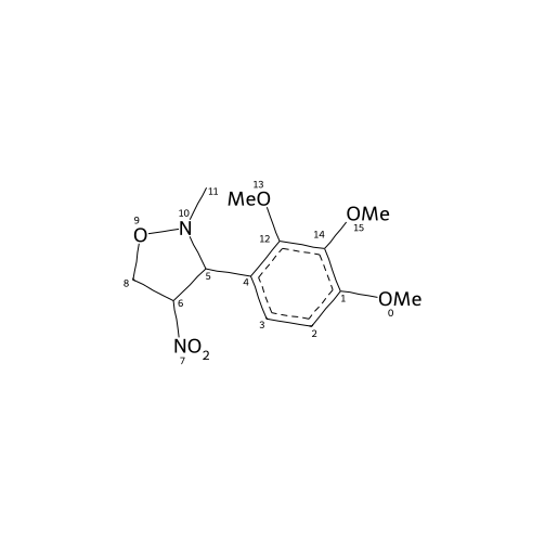 COc1ccc(C2C([N+](=O)[O-])CON2C)c(OC)c1OC